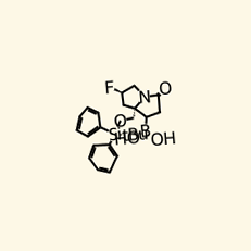 CC(C)(C)[Si](OC[C@]12C[C@@H](F)CN1C(=O)CC2B(O)O)(c1ccccc1)c1ccccc1